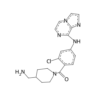 NCC1CCN(C(=O)c2ccc(Nc3nccn4ccnc34)cc2Cl)CC1